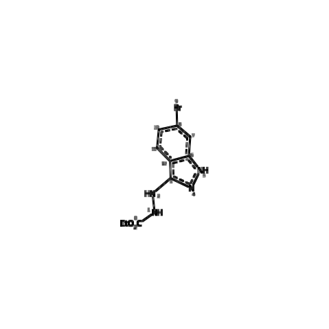 CCOC(=O)NNc1n[nH]c2cc(Br)ccc12